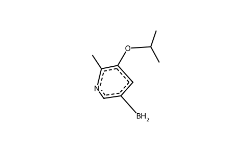 Bc1cnc(C)c(OC(C)C)c1